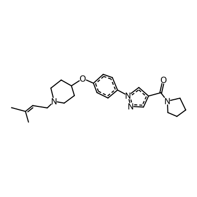 CC(C)=CCN1CCC(Oc2ccc(-n3cc(C(=O)N4CCCC4)cn3)cc2)CC1